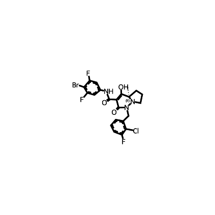 C[C@]12CCCN1N(Cc1cccc(F)c1Cl)C(=O)C(C(=O)Nc1cc(F)c(Br)c(F)c1)=C2O